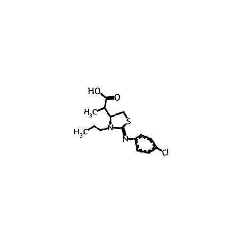 CCCN1C(=Nc2ccc(Cl)cc2)SCC1C(C)C(=O)O